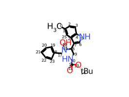 Cc1ccc2[nH]cc(C(CNC(=O)OC(C)(C)C)N(O)Cc3ccccc3)c2c1